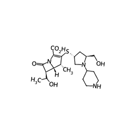 CC(O)[C@H]1C(=O)N2C(C(=O)O)=C(S[C@@H]3C[C@@H](CO)N(C4CCNCC4)C3)[C@H](C)[C@H]12